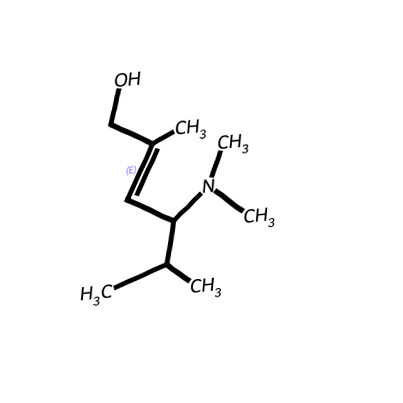 C/C(=C\C(C(C)C)N(C)C)CO